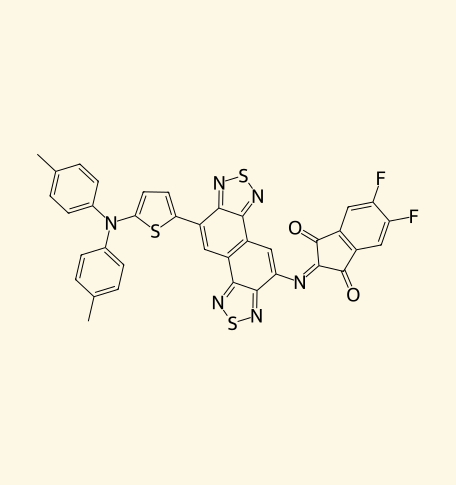 Cc1ccc(N(c2ccc(C)cc2)c2ccc(-c3cc4c(cc(N=c5c(=O)c6cc(F)c(F)cc6c5=O)c5nsnc54)c4nsnc34)s2)cc1